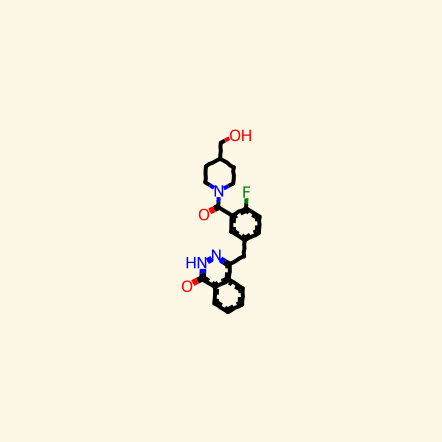 O=C(c1cc(Cc2n[nH]c(=O)c3ccccc23)ccc1F)N1CCC(CO)CC1